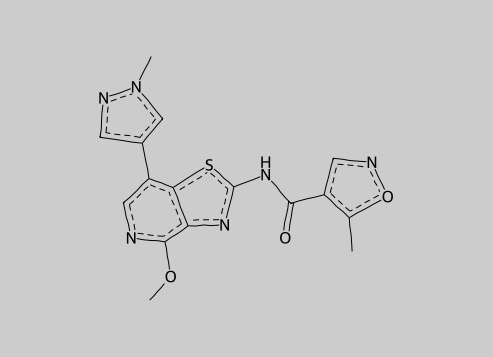 COc1ncc(-c2cnn(C)c2)c2sc(NC(=O)c3cnoc3C)nc12